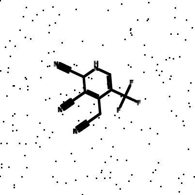 N#CCC1=C(C#N)C(C#N)NC=C1C(F)(F)F